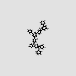 c1ccc(-c2nc(-c3ccc(-n4c5ccccc5c5cc6c(cc54)c4ccccc4n6-c4ccccc4)cc3)nc(-c3ccc4c(c3)oc3c(-c5ccccc5)cccc34)n2)cc1